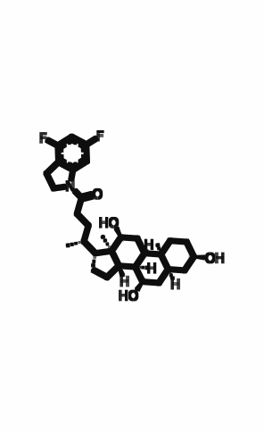 C[C@H](CCC(=O)N1CCc2c(F)cc(F)cc21)[C@H]1CC[C@H]2[C@@H]3[C@H](O)C[C@@H]4C[C@H](O)CC[C@]4(C)[C@H]3C[C@H](O)[C@]12C